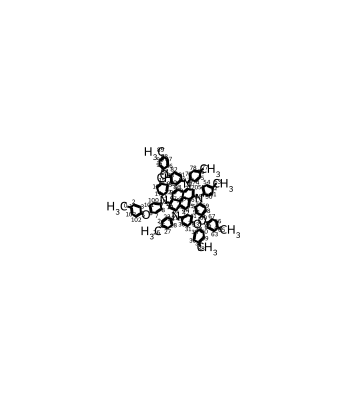 Cc1ccc(Oc2ccc(N(c3ccc(C)cc3)c3cc(N(c4ccc(C)cc4)c4ccc(Oc5ccc(C)cc5)cc4)c4ccc5c(N(c6ccc(C)cc6)c6ccc(Oc7ccc(C)cc7)cc6)cc(N(c6ccc(C)cc6)c6ccc(Oc7ccc(C)cc7)cc6)c6ccc3c4c65)cc2)cc1